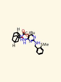 CSc1ccccc1CNc1ncc(C#N)c(NCC23CC4C[C@H](C2)C(NC(=O)OC(C)(C)C)[C@@H](C4)C3)n1